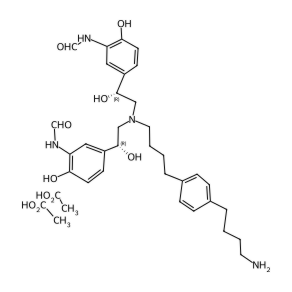 CC(=O)O.CC(=O)O.NCCCCc1ccc(CCCCN(C[C@H](O)c2ccc(O)c(NC=O)c2)C[C@H](O)c2ccc(O)c(NC=O)c2)cc1